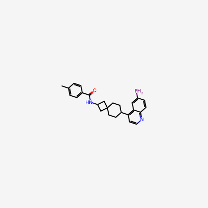 Cc1ccc(C(=O)NC2CC3(CCC(c4ccnc5ccc(P)cc45)CC3)C2)cc1